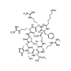 CCCCCCCCCCCCCCCC(=O)N[C@@H](Cc1ccccc1)C(=O)N[C@@H](CCCNC(=N)N)C(=O)N[C@@H](CCCNC(=N)N)C(=O)N[C@H]1CC(C)N([C@@H](Cc2c[nH]cn2)C(=O)N[C@@H](CO)C(=O)N[C@H](C(=O)N[C@@H](CCCNC(=N)N)C(=O)N[C@@H](CC(N)=O)C(C)=O)[C@@H](C)O)C1=O